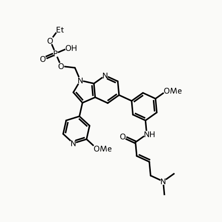 CCOP(=O)(O)OCn1cc(-c2ccnc(OC)c2)c2cc(-c3cc(NC(=O)/C=C/CN(C)C)cc(OC)c3)cnc21